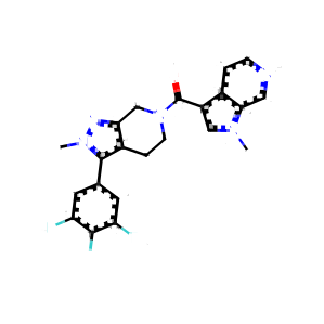 Cn1nc2c(c1-c1cc(F)c(F)c(F)c1)CCN(C(=O)c1cn(C)c3cnccc13)C2